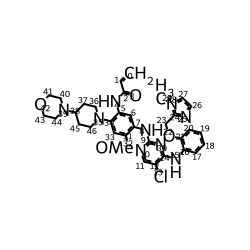 C=CC(=O)Nc1cc(Nc2ncc(Cl)c(Nc3ccccc3OCc3nccn3C)n2)c(OC)cc1N1CCC(N2CCOCC2)CC1